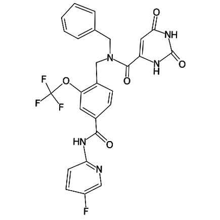 O=C(Nc1ccc(F)cn1)c1ccc(CN(Cc2ccccc2)C(=O)c2cc(=O)[nH]c(=O)[nH]2)c(OC(F)(F)F)c1